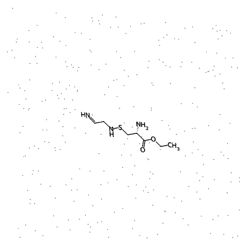 CCOC(=O)[C@@H](N)CSNCC=N